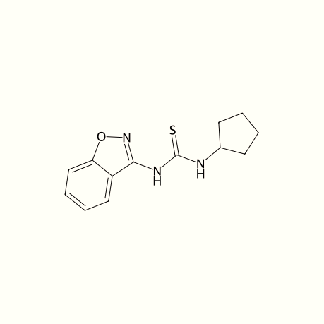 S=C(Nc1noc2ccccc12)NC1CCCC1